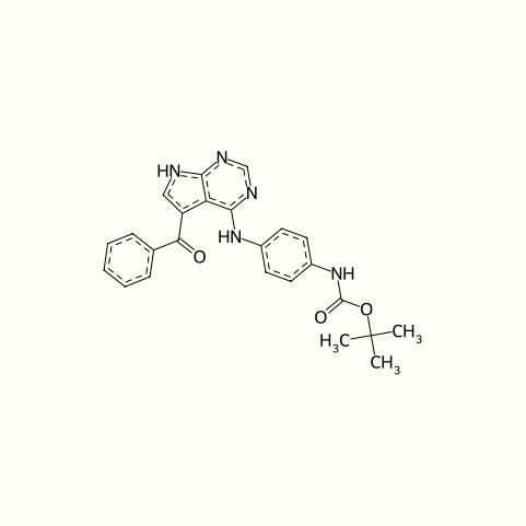 CC(C)(C)OC(=O)Nc1ccc(Nc2ncnc3[nH]cc(C(=O)c4ccccc4)c23)cc1